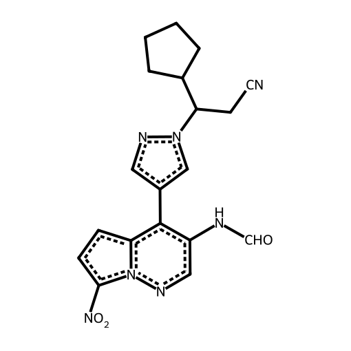 N#CCC(C1CCCC1)n1cc(-c2c(NC=O)cnn3c([N+](=O)[O-])ccc23)cn1